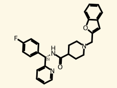 O=C(N[C@@H](c1ccc(F)cc1)c1ccccn1)C1CCN(Cc2cc3ccccc3o2)CC1